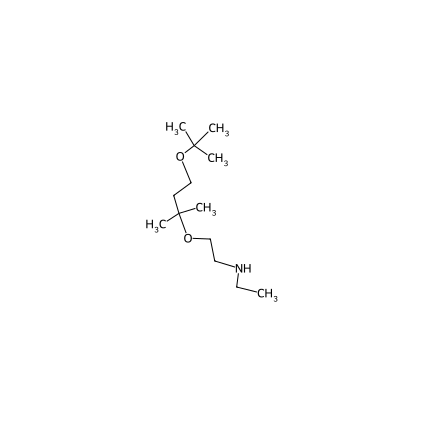 CCNCCOC(C)(C)CCOC(C)(C)C